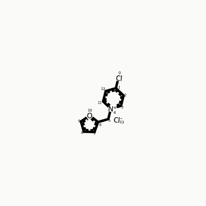 Clc1cc[n+](Cc2ccco2)cc1.[Cl-]